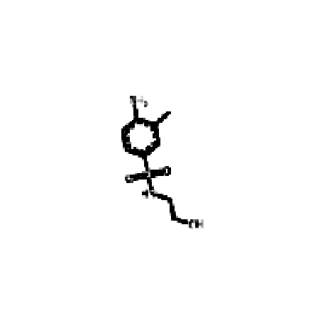 Cc1cc(S(=O)(=O)NCCO)ccc1N